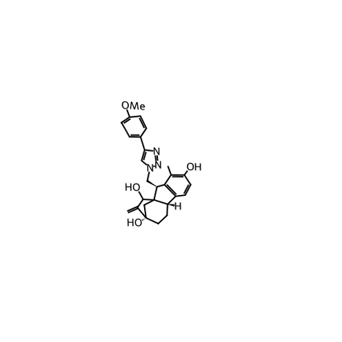 C=C1C(O)C23C[C@@]1(O)CC[C@H]2c1ccc(O)c(C)c1[C@@H]3Cn1cc(-c2ccc(OC)cc2)nn1